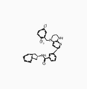 O=C(NC1Cc2ccccc2C1)c1cccc(-c2cnc3c(c2)N(Cc2cc(Cl)ccc2C(F)(F)F)CCN3)c1